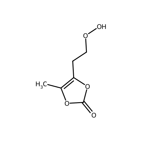 Cc1oc(=O)oc1CCOO